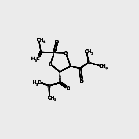 C=C(C)P1(=O)O[C@@H](C(=O)N(C)C)[C@H](C(=O)N(C)C)O1